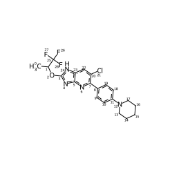 CC(Oc1nc2nc(-c3ccc(N4CCCCC4)cc3)c(Cl)cc2[nH]1)C(F)(F)F